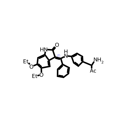 CCOc1cc2c(cc1OCC)/C(=C(/Nc1ccc(C(N)C(C)=O)cc1)c1ccccc1)C(=O)N2